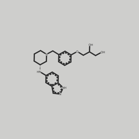 OCC(O)COc1cccc(CN2CCC[C@@H](Nc3ccc4[nH]ncc4c3)C2)c1